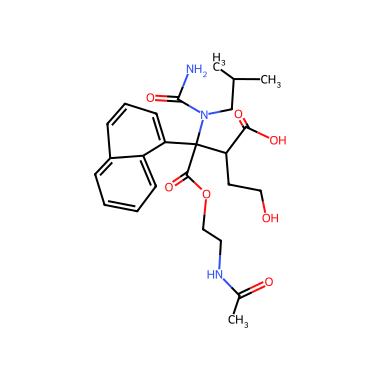 CC(=O)NCCOC(=O)C(c1cccc2ccccc12)(C(CCO)C(=O)O)N(CC(C)C)C(N)=O